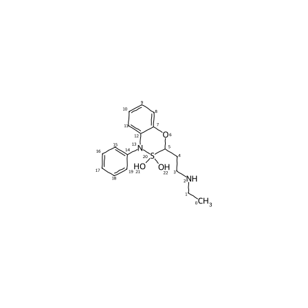 CCNCCC1Oc2ccccc2N(c2ccccc2)S1(O)O